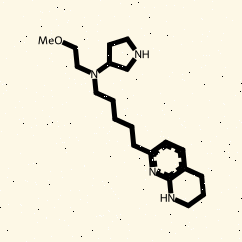 COCCN(CCCCCc1ccc2c(n1)NCCC2)C1CCNC1